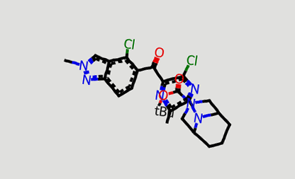 Cc1nc(C(=O)c2ccc3nn(C)cc3c2Cl)c(Cl)nc1N1C2CCCC1CN(C(=O)OC(C)(C)C)C2